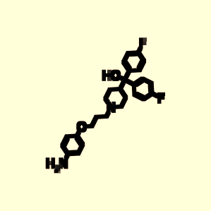 Nc1ccc(OCCCN2CCC(C(O)(c3ccc(F)cc3)c3ccc(F)cc3)CC2)cc1